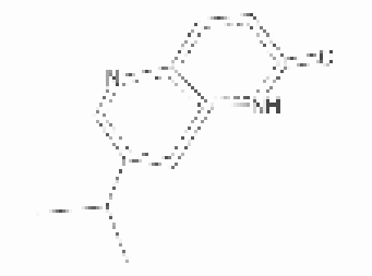 CC(C)c1cnc2ccc(=O)[nH]c2c1